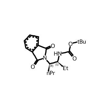 CCC[C@H]([C@H](CC)NC(=O)OC(C)(C)C)N1C(=O)c2ccccc2C1=O